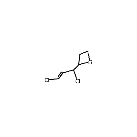 ClC=CC(Cl)C1CCO1